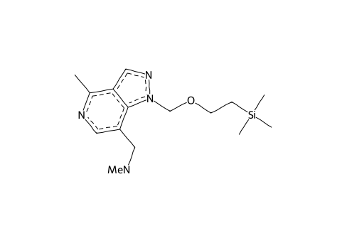 CNCc1cnc(C)c2cnn(COCC[Si](C)(C)C)c12